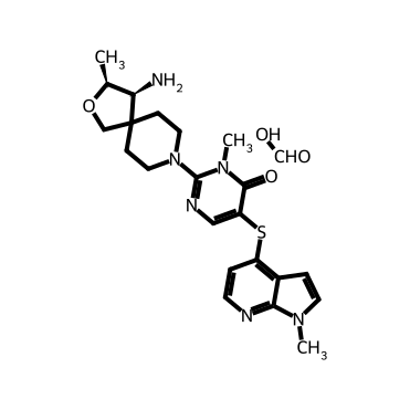 C[C@@H]1OCC2(CCN(c3ncc(Sc4ccnc5c4ccn5C)c(=O)n3C)CC2)[C@@H]1N.O=CO